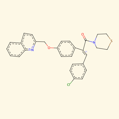 O=C(/C(=C/c1ccc(Cl)cc1)c1ccc(OCc2ccc3ccccc3n2)cc1)N1CCSCC1